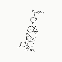 C=C(C)C1CC[C@]2(N)CC[C@]3(N)[C@H](CC[C@@H]4[C@@]5(C)CC=C(c6ccc(C(=O)OC)cc6)C(C)(C)[C@@H]5CC[C@]43C)[C@@H]12